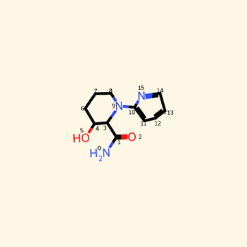 NC(=O)C1C(O)CCCN1c1cc[c]cn1